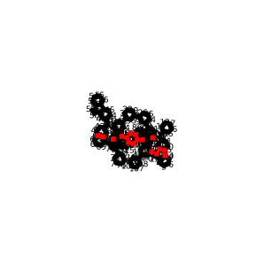 CC1(C)c2ccccc2-c2ccc(N(c3ccccc3)c3cc(-c4cccc(-c5cccc(-c6cc(N(c7ccccc7)c7ccc8c(c7)C(C)(C)c7ccccc7-8)cc(N(c7cc(-c8ccccc8)cc(-c8ccccc8)c7)c7ccc8c(c7)C(C)(C)c7ccccc7-8)c6)c5)c4)cc(N(c4cc(-c5ccccc5)cc(-c5ccccc5)c4)c4ccc5c(c4)C(C)(C)c4ccccc4-5)c3)cc21